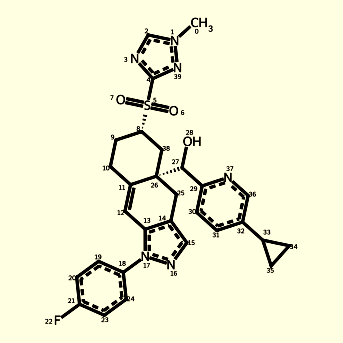 Cn1cnc(S(=O)(=O)[C@H]2CCC3=Cc4c(cnn4-c4ccc(F)cc4)C[C@]3(C(O)c3ccc(C4CC4)cn3)C2)n1